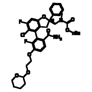 CCCCOC(=O)N(C)C[C@@]1(c2ccccc2)Cc2c(cc(F)c(Cl)c2-c2c(C(N)=O)ccc(OCCOC3CCCCO3)c2F)O1